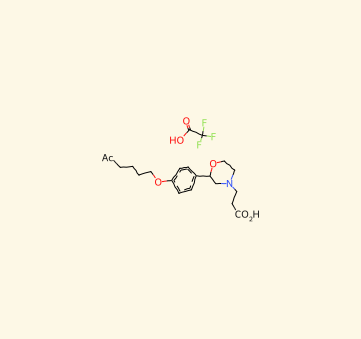 CC(=O)CCCCOc1ccc(C2CN(CCC(=O)O)CCO2)cc1.O=C(O)C(F)(F)F